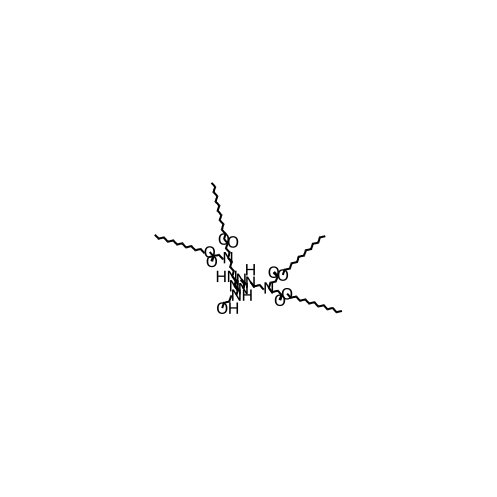 CCCCCCCCCCCCOC(=O)CCN(CCCNc1nc(NCCCO)nc(NCCCN(CCC(=O)OCCCCCCCCCCCC)CCC(=O)OCCCCCCCCCCCC)n1)CCC(=O)OCCCCCCCCCCCC